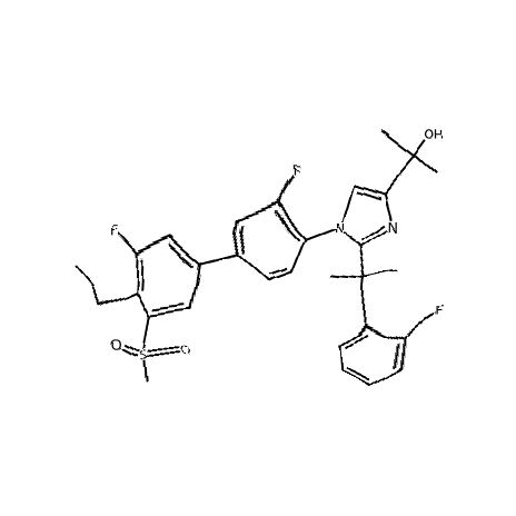 CCc1c(F)cc(-c2ccc(-n3cc(C(C)(C)O)nc3C(C)(C)c3ccccc3F)c(F)c2)cc1S(C)(=O)=O